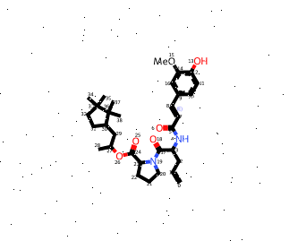 C=CCC(NC(=O)/C=C/c1ccc(O)c(OC)c1)C(=O)N1CCCC1C(=O)OC(C)CC1CCC(C)(C)C1(C)C